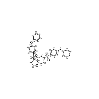 O=S(=O)(c1ccc(Cc2ccccc2)cc1)N1CCC2(CC1)OCCN2S(=O)(=O)c1ccc(Oc2ccccc2)cc1